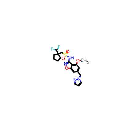 COc1cc(Cn2cccn2)cc2onc(NS(=O)(=O)CC3(C(F)F)CCCC3)c12